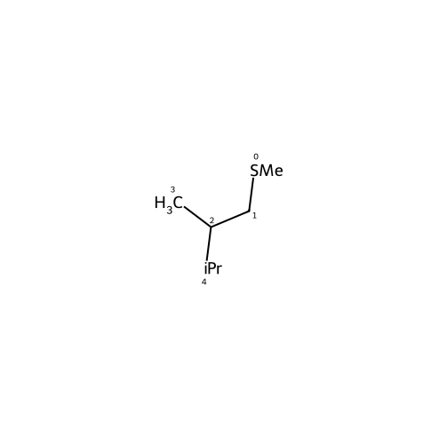 [CH2]SCC(C)C(C)C